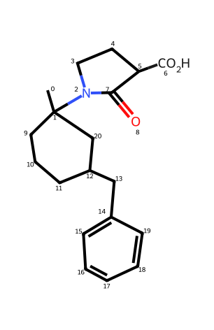 CC1(N2CCC(C(=O)O)C2=O)CCCC(Cc2ccccc2)C1